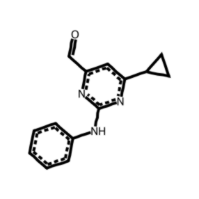 O=Cc1cc(C2CC2)nc(Nc2ccccc2)n1